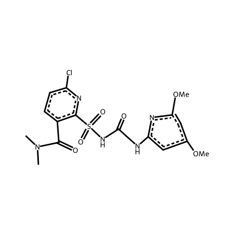 COc1cc(NC(=O)NS(=O)(=O)c2nc(Cl)ccc2C(=O)N(C)C)nc(OC)c1